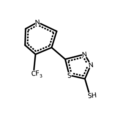 FC(F)(F)c1ccncc1-c1nnc(S)s1